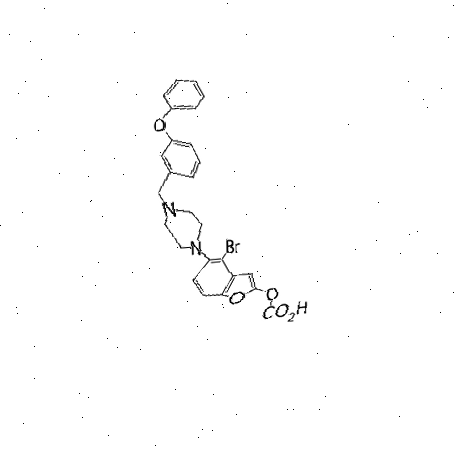 O=C(O)Oc1cc2c(Br)c(N3CCN(Cc4cccc(Oc5ccccc5)c4)CC3)ccc2o1